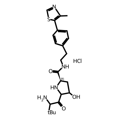 Cc1ncsc1-c1ccc(CCNC(=O)[C@H]2CC(O)C(C(=O)C(N)C(C)(C)C)N2)cc1.Cl